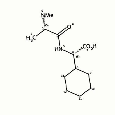 CN[C@@H](C)C(=O)N[C@H](C(=O)O)C1CCCCC1